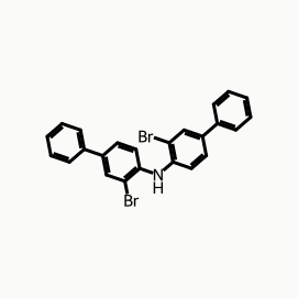 Brc1cc(-c2ccccc2)ccc1Nc1ccc(-c2ccccc2)cc1Br